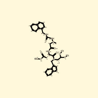 CCOC(OCC)[C@H](C)N(Cc1csc2ccccc12)C(=O)[C@H](CC(=O)OC(C)(C)C)NC(=O)CN(C)NC(=O)NCc1cccc2ccccc12